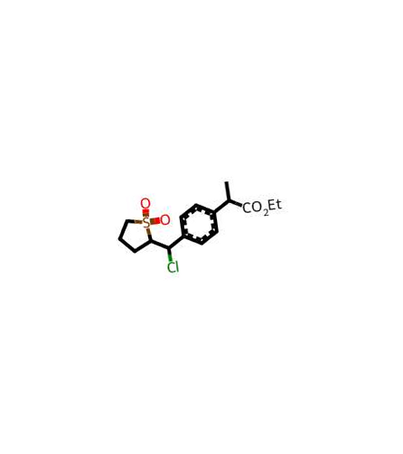 CCOC(=O)C(C)c1ccc(C(Cl)C2CCCS2(=O)=O)cc1